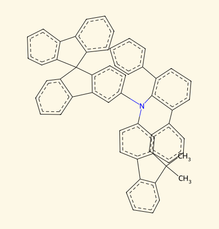 CC1(C)c2ccccc2-c2ccc(N(c3ccc4c(c3)-c3ccccc3C43c4ccccc4-c4ccccc43)c3c(-c4ccccc4)cccc3-c3ccccc3)cc21